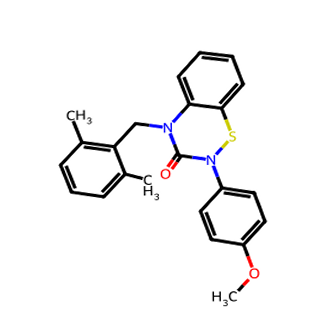 COc1ccc(N2Sc3ccccc3N(Cc3c(C)cccc3C)C2=O)cc1